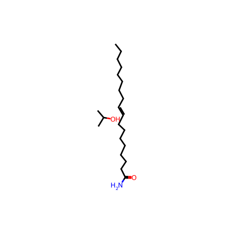 CC(C)O.CCCCCCCCC=CCCCCCCCC(N)=O